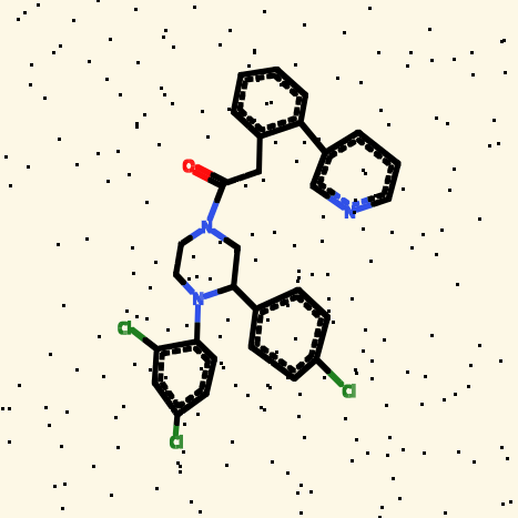 O=C(Cc1ccccc1-c1cccnc1)N1CCN(c2ccc(Cl)cc2Cl)C(c2ccc(Cl)cc2)C1